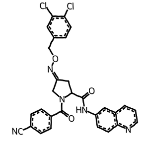 N#Cc1ccc(C(=O)N2C/C(=N/OCc3ccc(Cl)c(Cl)c3)CC2C(=O)Nc2ccc3ncccc3c2)cc1